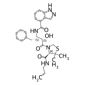 C=CCNC(=O)[C@H]1N(C(=O)[C@@H](O)[C@H](Cc2ccccc2)NC(=O)c2cccc3[nH]ncc23)CSC1(C)C